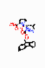 CC(C)C[C@H](NC(=O)OCC1c2ccccc2-c2ccccc21)C(=O)N1CCC[C@H]1C(=O)O